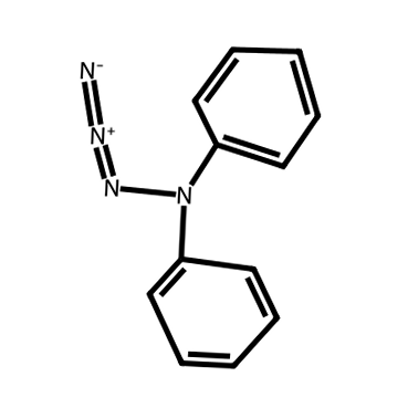 [N-]=[N+]=NN(c1ccccc1)c1ccccc1